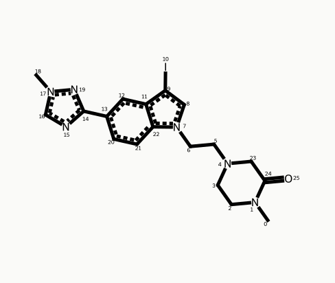 CN1CCN(CCn2cc(I)c3cc(-c4ncn(C)n4)ccc32)CC1=O